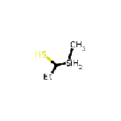 CCC(S)[SiH2]C